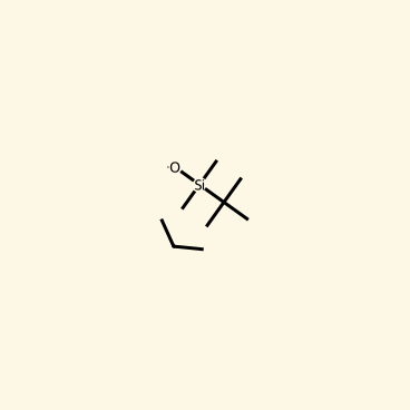 CC(C)(C)[Si](C)(C)[O].CCC